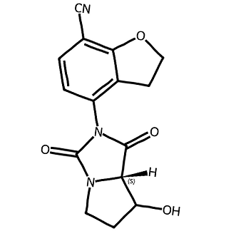 N#Cc1ccc(N2C(=O)[C@@H]3C(O)CCN3C2=O)c2c1OCC2